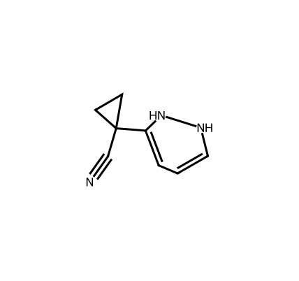 N#CC1(C2=CC=CNN2)CC1